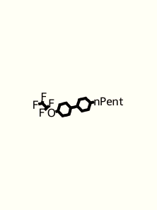 CCCCCC1CCC(C2CCC(OC(F)(F)C(F)F)CC2)CC1